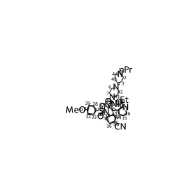 CCCN1CCC(N2CCN(C(=O)NC3(c4cccnc4OCC)C(=O)N(S(=O)(=O)c4ccc(OC)cc4)c4ccc(C#N)cc43)CC2)CC1